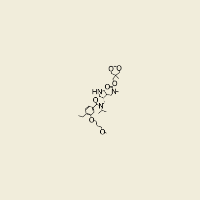 CCc1ccc(C(=O)N(C[C@@H]2CNC[C@H]2CN(C)C(=O)OCC2(C)COCOC2)C(C)C)cc1OCCCOC